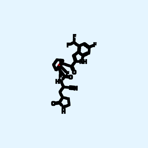 N#CC(CC1CCNC1=O)NC(=O)C1C2CCC(CC2(F)F)N1C(=O)c1cc2c(C(F)F)cc(F)cc2[nH]1